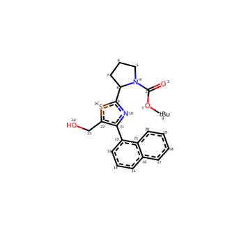 CC(C)(C)OC(=O)N1CCCC1c1nc(-c2cccc3ccccc23)c(CO)s1